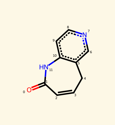 O=C1C=CCc2cnccc2N1